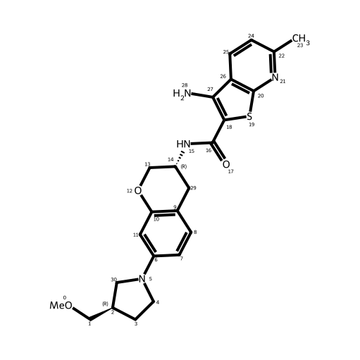 COC[C@@H]1CCN(c2ccc3c(c2)OC[C@H](NC(=O)c2sc4nc(C)ccc4c2N)C3)C1